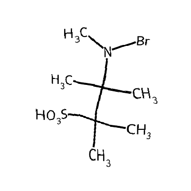 CN(Br)C(C)(C)C(C)(C)S(=O)(=O)O